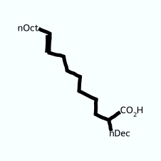 CCCCCCCCC=CCCCCCCC(CCCCCCCCCC)C(=O)O